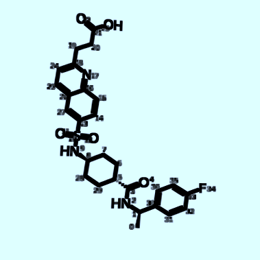 C[C@@H](NC(=O)[C@H]1CC[C@H](NS(=O)(=O)c2ccc3nc(CCC(=O)O)ccc3c2)CC1)c1ccc(F)cc1